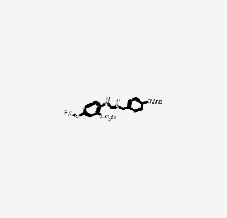 COc1ccc(C[SH]=CNc2ccc(OC(F)(F)F)cc2C(=O)O)cc1